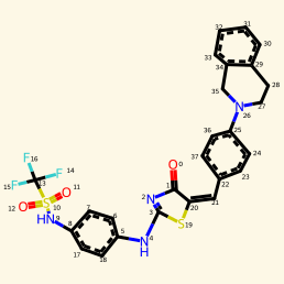 O=C1N=C(Nc2ccc(NS(=O)(=O)C(F)(F)F)cc2)SC1=Cc1ccc(N2CCc3ccccc3C2)cc1